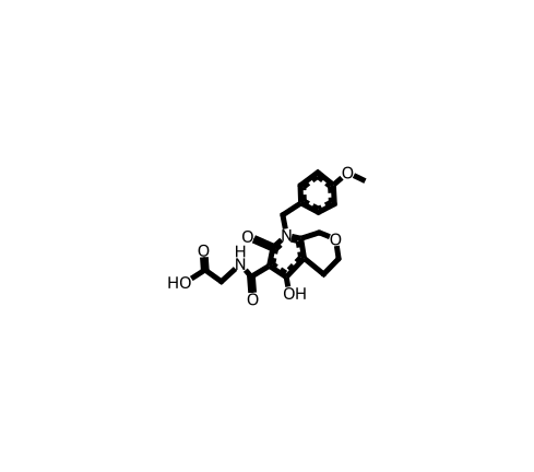 COc1ccc(Cn2c3c(c(O)c(C(=O)NCC(=O)O)c2=O)CCOC3)cc1